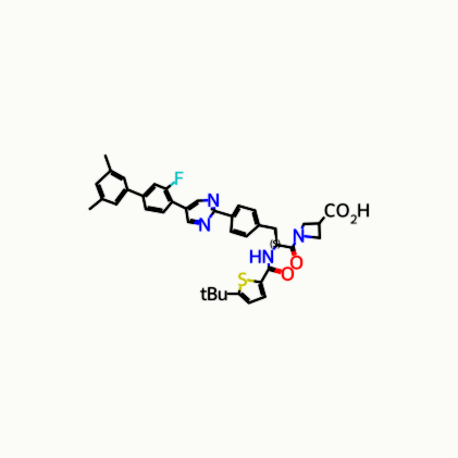 Cc1cc(C)cc(-c2ccc(-c3cnc(-c4ccc(C[C@H](NC(=O)c5ccc(C(C)(C)C)s5)C(=O)N5CC(C(=O)O)C5)cc4)nc3)c(F)c2)c1